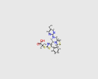 CCc1cnc(N(CCc2csc(SC(C)(C)C(=O)O)n2)Cc2csc(-c3ccccc3)n2)nc1